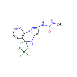 CNC(=O)Nc1cc2n(n1)-c1cnccc1C(F)(CC(F)(F)F)N2